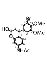 COc1cc(C2CC(O)Oc3cc(NC(C)=O)ccc32)cc(Br)c1OC